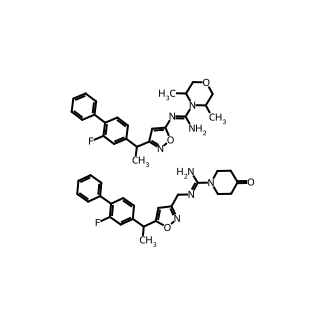 CC(c1ccc(-c2ccccc2)c(F)c1)c1cc(/N=C(\N)N2C(C)COCC2C)on1.CC(c1ccc(-c2ccccc2)c(F)c1)c1cc(C/N=C(\N)N2CCC(=O)CC2)no1